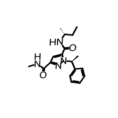 CC[C@@H](C)NC(=O)c1cc(C(=O)NC)nn1[C@@H](C)c1ccccc1